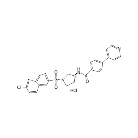 Cl.O=C(N[C@H]1CCN(S(=O)(=O)c2ccc3cc(Cl)ccc3c2)C1)c1ccc(-c2ccncc2)cc1